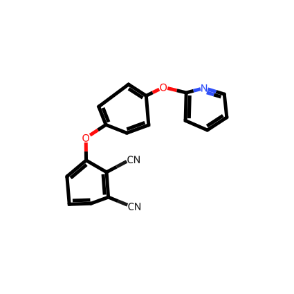 N#Cc1cccc(Oc2ccc(Oc3ccccn3)cc2)c1C#N